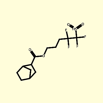 O=C(OCCCC(F)(F)C(F)(F)[SH](=O)=O)C1CC2CCC1C2